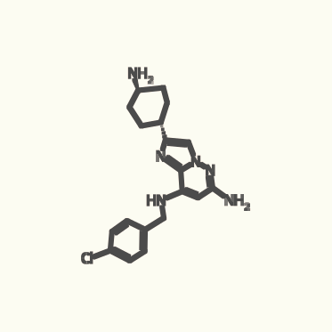 Nc1cc(NCc2ccc(Cl)cc2)c2nc([C@H]3CC[C@H](N)CC3)cn2n1